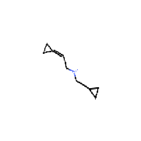 C(CNCC1CC1)=C1CC1